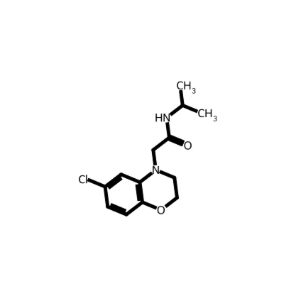 CC(C)NC(=O)CN1CCOc2ccc(Cl)cc21